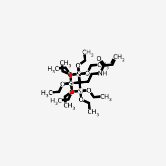 C=CC(=O)NCCC([Si](OCC)(OCC)OCC)([Si](OCC)(OCC)OCC)[Si](OCC)(OCC)OCC